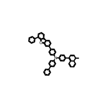 CC1C=CC(c2ccc(N(c3ccc(-c4ccccc4)cc3)c3ccc(-c4ccc5c(c4)oc4c(-c6ccccc6)cccc45)cc3)cc2)=C2C=CC=CC21